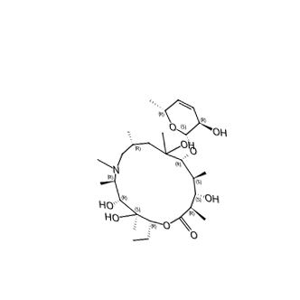 CC[C@H]1OC(=O)[C@H](C)[C@@H](O)[C@H](C)[C@@H](O[C@@H]2O[C@H](C)C=C[C@H]2O)C(C)(O)C[C@@H](C)CN(C)[C@H](C)[C@@H](O)[C@]1(C)O